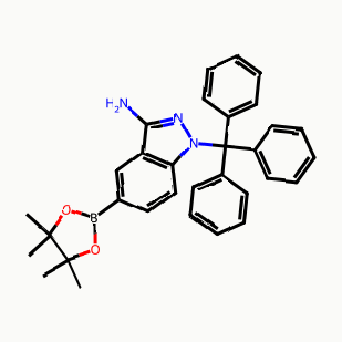 CC1(C)OB(c2ccc3c(c2)c(N)nn3C(c2ccccc2)(c2ccccc2)c2ccccc2)OC1(C)C